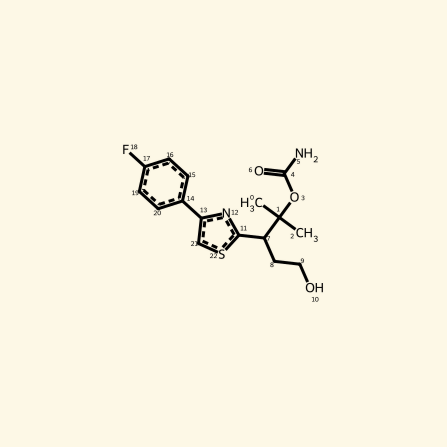 CC(C)(OC(N)=O)C(CCO)c1nc(-c2ccc(F)cc2)cs1